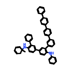 CC1(Nc2ccc(-c3ccc(Nc4ccccc4)c(-c4cccc(-c5ccc(-c6ccc(-c7ccccc7)cc6)cc5)c4)c3)cc2-c2ccccc2)C=CC=CC1